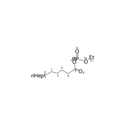 CCCCCCCCCCCC(=O)O[PH](=O)OCC